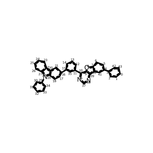 c1ccc(-c2ccc3oc4c(-c5cccc(-c6ccc7c(c6)c6ccccc6n7-c6ccccc6)c5)ncnc4c3c2)cc1